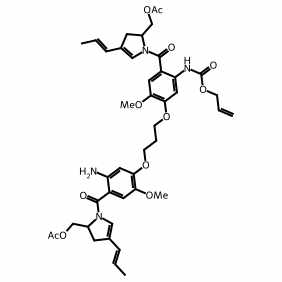 C=CCOC(=O)Nc1cc(OCCCOc2cc(N)c(C(=O)N3C=C(C=CC)CC3COC(C)=O)cc2OC)c(OC)cc1C(=O)N1C=C(C=CC)CC1COC(C)=O